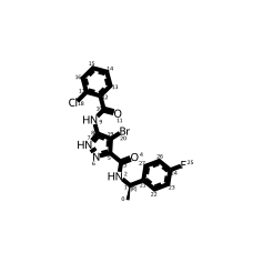 C[C@@H](NC(=O)c1n[nH]c(NC(=O)c2ccccc2Cl)c1Br)c1ccc(F)cc1